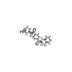 O=C(c1ccc2c(c1)CN(C1CCCNC1)C2=O)N1CCc2ccccc2C1